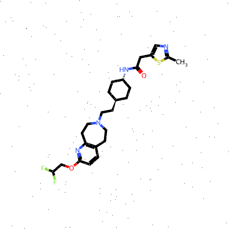 Cc1ncc(CC(=O)N[C@H]2CC[C@H](CCN3CCc4ccc(OCC(F)F)nc4CC3)CC2)s1